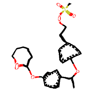 CC(Oc1ccc(CCOS(C)(=O)=O)cc1)c1ccc(OC2CCCCO2)cc1